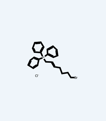 BrCCCCC=CC[P+](c1ccccc1)(c1ccccc1)c1ccccc1.[Cl-]